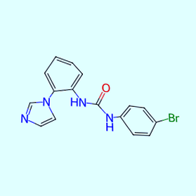 O=C(Nc1ccc(Br)cc1)Nc1ccccc1-n1ccnc1